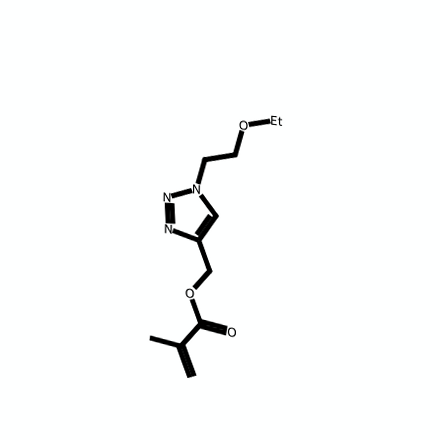 C=C(C)C(=O)OCc1cn(CCOCC)nn1